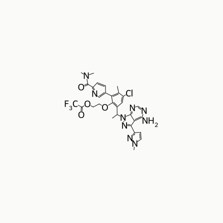 Cc1c(Cl)cc(C(C)n2nc(-c3ccn(C)n3)c3c(N)ncnc32)c(OCCOC(=O)C(F)(F)F)c1-c1ccc(C(=O)N(C)C)nc1